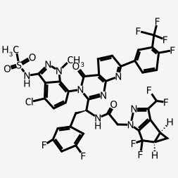 Cn1nc(NS(C)(=O)=O)c2c(Cl)ccc(-n3c([C@H](Cc4cc(F)cc(F)c4)NC(=O)Cn4nc(C(F)F)c5c4C(F)(F)[C@@H]4C[C@H]54)nc4nc(-c5ccc(F)c(C(F)(F)F)c5)ccc4c3=O)c21